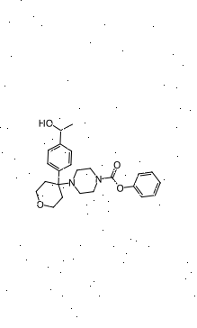 CC(O)c1ccc(C2(N3CCN(C(=O)Oc4ccccc4)CC3)CCOCC2)cc1